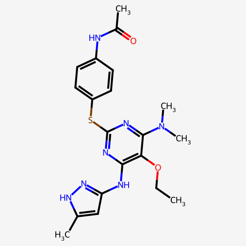 CCOc1c(Nc2cc(C)[nH]n2)nc(Sc2ccc(NC(C)=O)cc2)nc1N(C)C